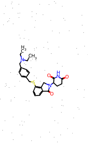 CCN(CC)Cc1ccc(CSc2cccc3c2CN(C2CCC(=O)NC2=O)C3=O)cc1